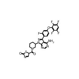 Nc1ncnc2c1c(-c1ccc(Oc3c(F)c(F)cc(F)c3F)cc1F)nn2C1CCCN(C(=O)C2C=NC(=O)S2)C1